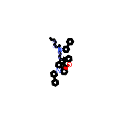 C=C(/C=C\C=C/CC)N(/C=C/C=C1\C(=C)C2(C3=C(C=CC#CC3)Oc3ccccc32)c2c1ccc1c2c2c(n1-c1cccc(-c3ccccc3)c1)C=CCC2)c1cccc(-c2ccccc2)c1